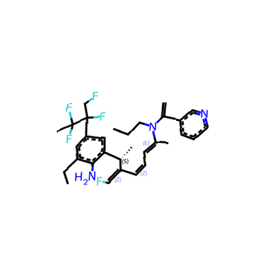 C=C(c1cccnc1)N(CCC)/C(C)=C/C=C\C(=C\F)[C@@H](C)c1cc(C(F)(CF)C(C)(F)F)cc(CC)c1N